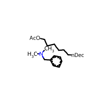 CCCCCCCCCCCCCCCCOC(C)=O.CN(C)Cc1ccccc1